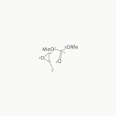 CC1CO1.COC(=O)OC